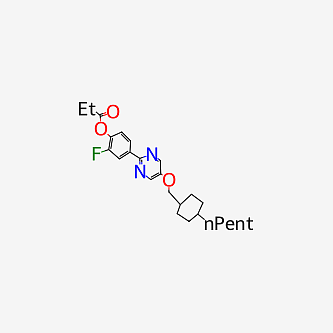 CCCCCC1CCC(COc2cnc(-c3ccc(OC(=O)CC)c(F)c3)nc2)CC1